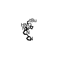 CC(C)(C)CC(=O)Nc1nc2ccc(-c3cccnc3)nc2n1C1CCC1